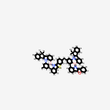 Cc1cc2c3c(c1)-n1c4c(c5cccc(c51)B3n1c3c-2cccc3c2sc3cc(Cc5cc6c7c(c5)-n5c8c(c9cccc(c95)B7n5c7c-6cccc7c6oc7ccccc7c65)-c5ccccc5C8(C)C)ccc3c21)C(C)(C)c1ccccc1-4